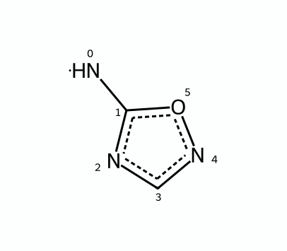 [NH]c1ncno1